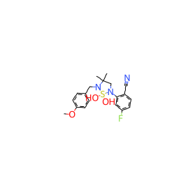 COc1ccc(CN2C(C)(C)CN(c3cc(F)ccc3C#N)S2(O)O)cc1